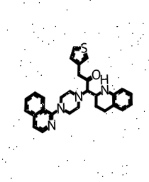 O=C(Cc1ccsc1)C(C1CCc2ccccc2N1)N1CCN(c2nccc3ccccc23)CC1